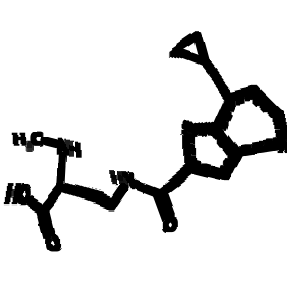 CNC(CNC(=O)c1cc2nccc(C3CC3)c2s1)C(=O)O